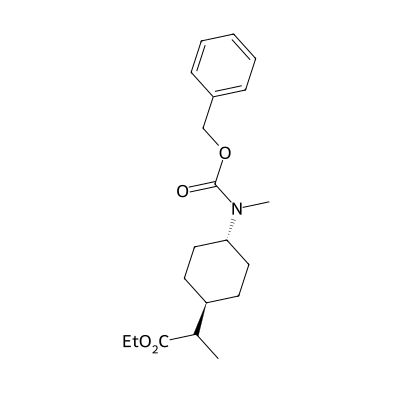 CCOC(=O)C(C)[C@H]1CC[C@H](N(C)C(=O)OCc2ccccc2)CC1